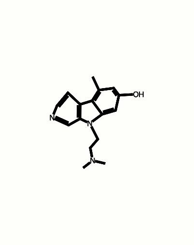 Cc1cc(O)cc2c1c1ccncc1n2CCN(C)C